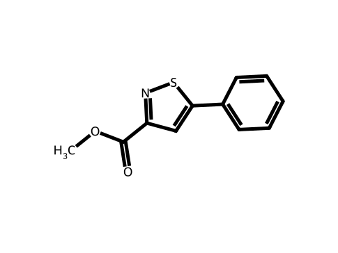 COC(=O)c1cc(-c2ccccc2)sn1